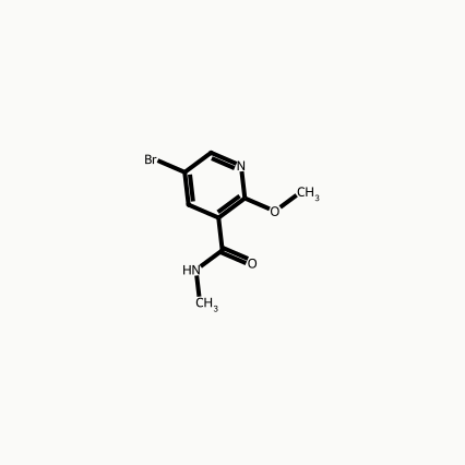 CNC(=O)c1cc(Br)cnc1OC